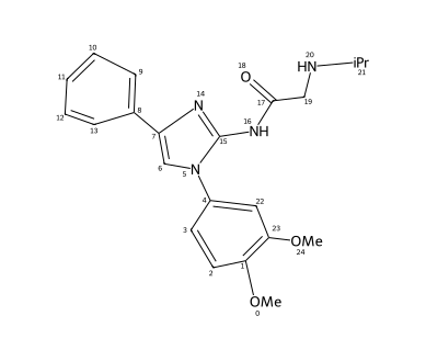 COc1ccc(-n2cc(-c3ccccc3)nc2NC(=O)CNC(C)C)cc1OC